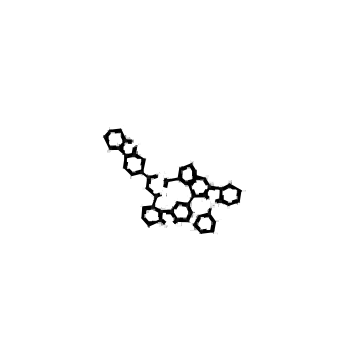 c1ccc(-c2nc(-c3ccc4c(c3)oc3ccccc34)cc(-c3cccc4oc5ccc(-c6cccc7c8ccccc8n(-c8ccccc8)c67)cc5c34)n2)cc1